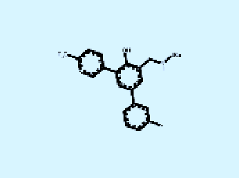 CC(C)(C)NCc1cc(-c2cccc(F)c2)cc(-c2ccc(C(F)(F)F)nc2)c1O